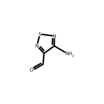 Nc1nsnc1C=O